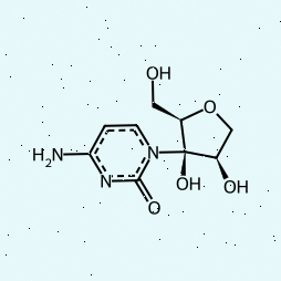 Nc1ccn([C@@]2(O)[C@H](O)CO[C@@H]2CO)c(=O)n1